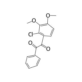 COc1ccc(C(=O)C(=O)c2ccccc2)c(Cl)c1OC